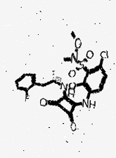 CON(C)S(=O)(=O)c1c(Cl)ccc(Nc2c(N[C@@H](C)Cc3ccccc3F)c(=O)c2=O)c1O